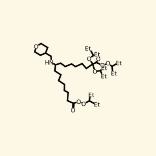 CCC(CC)OOC(=O)CCCCCCCC(CCCCCCC(OC(CC)CC)(OC(CC)CC)C(=O)OOC(CC)CC)NCC1CCOCC1